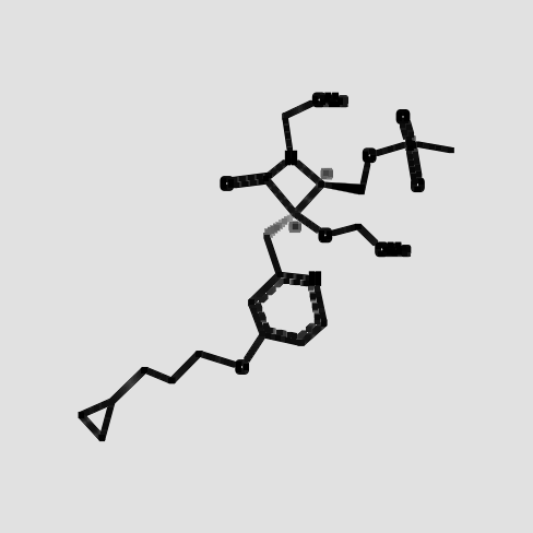 COCO[C@@]1(Cc2cc(OCCCC3CC3)ccn2)C(=O)N(COC)[C@H]1COS(C)(=O)=O